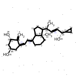 C=C1/C(=C\C=C2/CCC[C@@]3(C)C2CCC3[C@@H](C)/C=C/[C@@H](O)C2CC2)C[C@@H](O)C[C@@H]1O